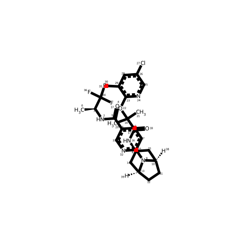 C[C@H](NC(=O)c1ccc(N2[C@@H]3CC[C@H]2C[C@@H](NC(=O)C(C)(C)Oc2ncc(Cl)cc2F)C3)nc1)C(F)(F)F